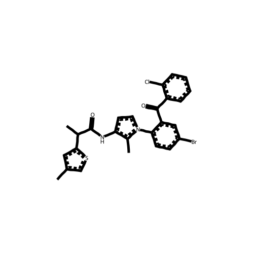 Cc1csc(C(C)C(=O)Nc2ccn(-c3ccc(Br)cc3C(=O)c3ccccc3Cl)c2C)c1